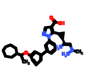 CC(Oc1cccc(-c2cccc(-n3ncc(C(=O)O)c3C3C[C@H]3/C(N)=C/N(C)N)c2)c1)C1CCCCCC1